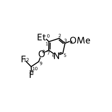 CCc1cc(OC)cnc1OCC(F)F